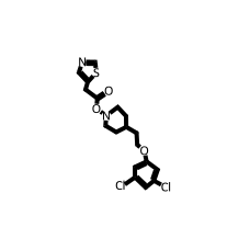 O=C(Cc1cncs1)ON1CCC(CCOc2cc(Cl)cc(Cl)c2)CC1